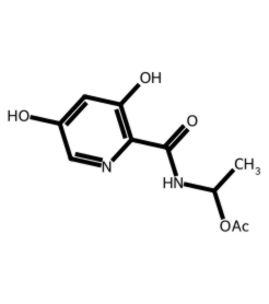 CC(=O)OC(C)NC(=O)c1ncc(O)cc1O